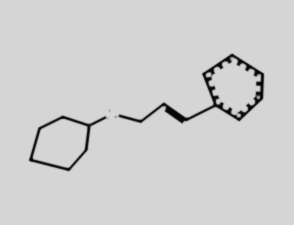 C(=Cc1ccccc1)CNC1CCCCC1